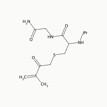 C=C(C)C(=O)CSCC(NC(C)C)C(=O)NCC(N)=O